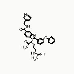 N=C(N)NCCC[C@@H](C(N)=O)n1c(-c2cccc(Oc3ccccc3)c2)nc2cc(C(=O)NCc3cccnc3)ccc21